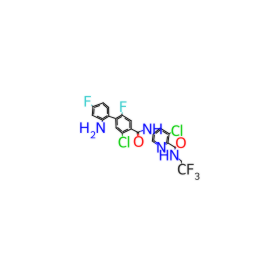 Nc1cc(F)ccc1-c1cc(Cl)c(C(=O)Nc2cnc(C(=O)NCC(F)(F)F)c(Cl)c2)cc1F